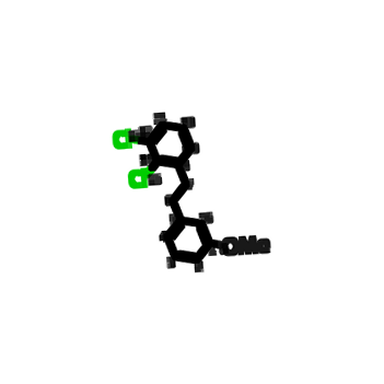 COc1cccc(CCc2[c]ccc(Cl)c2Cl)c1